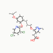 CC(C)Oc1ccc(CCCOc2nn(C)cc2CC(=O)O)c(Oc2ncc(Cl)cc2Cl)c1